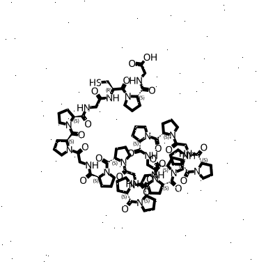 O=C(O)CNC(=O)[C@@H]1CCCN1C(=O)[C@H](CS)NC(=O)CNC(=O)[C@@H]1CCCN1C(=O)[C@@H]1CCCN1C(=O)CNC(=O)[C@@H]1CCCN1C(=O)[C@@H]1CCCN1C(=O)CNC(=O)[C@@H]1CCCN1C(=O)[C@@H]1CCCN1C(=O)CNC(=O)[C@@H]1CCCN1C(=O)[C@@H]1CCCN1C(=O)CNC(=O)[C@@H]1CCCN1C(=O)[C@@H]1CCCN1C(=O)CNC(=O)[C@@H]1CCCN1C(=O)[C@@H]1CCCN1